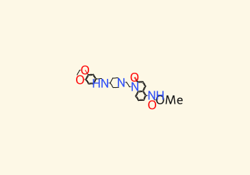 COC(=O)Nc1cccc2c1ccc(=O)n2CCN1CCC(NCc2ccc3c(c2)OCCO3)CC1